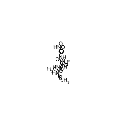 C[C@H](NC(=O)c1cc(C(=O)NCc2ccc3oc(=O)[nH]c3c2)nc2c(F)cnn12)C(=O)NC1CN(C)C1